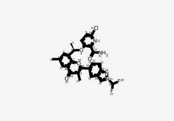 Cc1cc([C@@H](C)Oc2ccc(Cl)nc2C(N)=O)c2oc(-c3ccc4nn(C(F)F)cc4c3)c(C)c(=O)c2c1